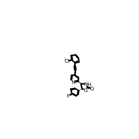 O=C1N[C@H](c2cc(C#Cc3ccccc3Cl)ccn2)[C@@H](c2ccc(F)cc2)O1